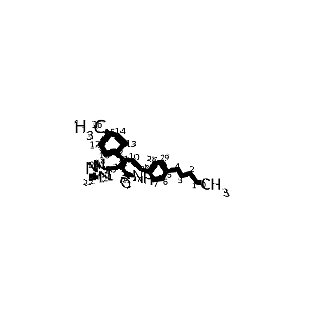 CCCCCc1ccc(-c2cc(-c3ccc(C)cc3)c(C3=NCN=N3)c(=O)[nH]2)cc1